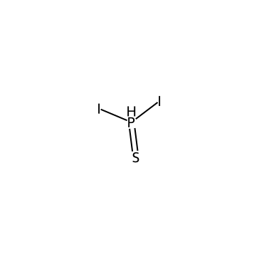 S=[PH](I)I